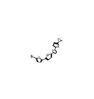 COc1ccc(-c2ccc(-c3ccc(-c4ccc(Br)s4)s3)s2)s1